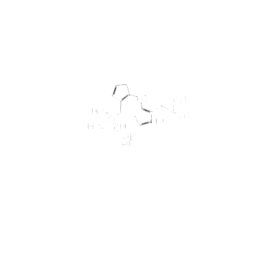 C[Si](C)(C)CC1=[C]([Hf][C]2=C(C[Si](C)(C)C)C=CC2)CC=C1.F.F